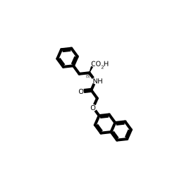 O=C(COc1ccc2ccccc2c1)N[C@@H](Cc1ccccc1)C(=O)O